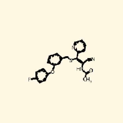 CC(=O)NC(C#N)=C(SCc1cccc(Oc2ccc(F)cc2)c1)c1ccccn1